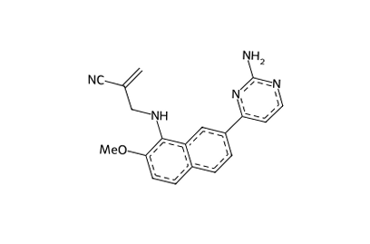 C=C(C#N)CNc1c(OC)ccc2ccc(-c3ccnc(N)n3)cc12